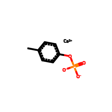 Cc1ccc(OP(=O)([O-])[O-])cc1.[Ca+2]